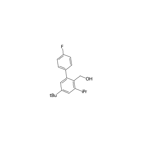 CC(C)c1cc(C(C)(C)C)cc(-c2ccc(F)cc2)c1CO